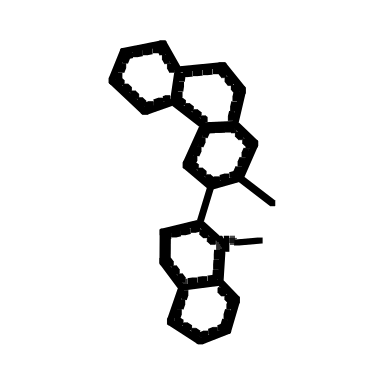 Cc1cc2ccc3ccccc3c2cc1-c1ccc2ccccc2[n+]1C